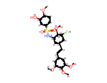 COc1ccc(S(=O)(=O)Nc2cc(C=Cc3cc(OC)c(OC)c(OC)c3)cc(F)c2OC)cc1O